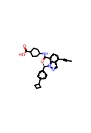 CC#Cc1ccc(C(=O)NC2CCC(C(=O)O)CC2)c2c1cnn2[C@H](C)c1ccc(C2CCC2)cc1